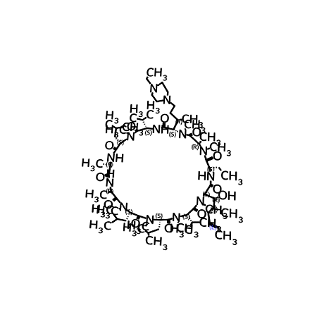 C/C=C/C[C@@H](C)[C@@H](O)[C@H]1C(=O)N[C@@H](CC)C(=O)N(C)[C@H](C)C(=O)N(C)[C@@H]([C@H](C)CCN2CCN(CC)CC2)C(=O)N[C@@H](C(C)C)C(=O)N(C)[C@@H](CC(C)C)C(=O)N[C@@H](C)C(=O)N[C@H](C)C(=O)N(C)[C@@H](CC(C)C)C(=O)N(C)[C@@H](CC(C)C)C(=O)N(C)[C@@H](C(C)C)C(=O)N1C